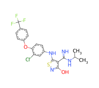 CC(C)NC(=N)c1c(O)nsc1Nc1ccc(Oc2ccc(C(F)(F)F)cc2)c(Cl)c1